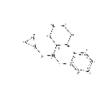 c1ccc(CN(CC2CC2)C2CCCCC2)cc1